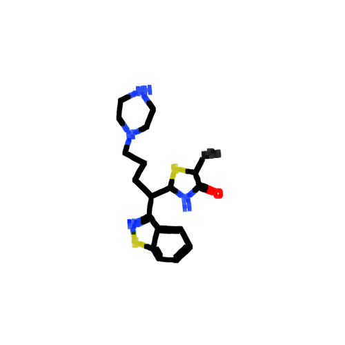 CCCCC1SC(C(CCCN2CCNCC2)c2nsc3ccccc23)NC1=O